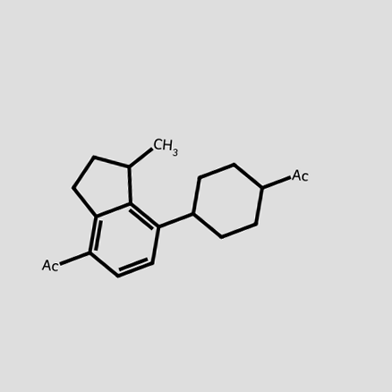 CC(=O)c1ccc(C2CCC(C(C)=O)CC2)c2c1CCC2C